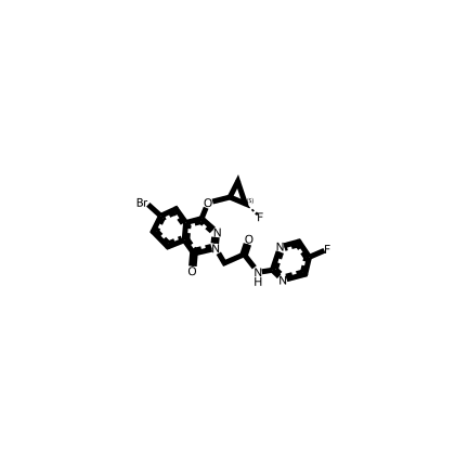 O=C(Cn1nc(OC2C[C@@H]2F)c2cc(Br)ccc2c1=O)Nc1ncc(F)cn1